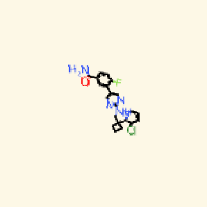 NC(=O)c1ccc(F)c(-c2cnc(NCC3(c4ncccc4Cl)CCC3)nc2)c1